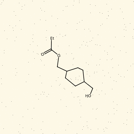 [CH2]CC(=O)OCC1CCC(CO)CC1